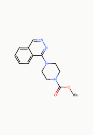 CC(C)(C)OC(=O)N1CCN(c2nncc3ccccc23)CC1